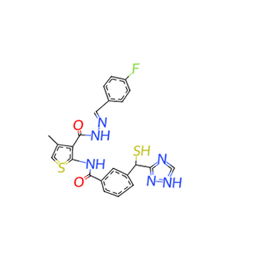 Cc1csc(NC(=O)c2cccc(C(S)c3nc[nH]n3)c2)c1C(=O)N/N=C/c1ccc(F)cc1